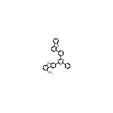 Cc1cccc2oc3cc(-c4nc(-c5ccccc5)nc(-c5cccc(-c6cccc7c6sc6ccccc67)c5)n4)ccc3c12